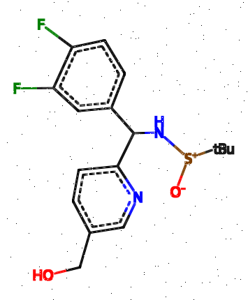 CC(C)(C)[S+]([O-])NC(c1ccc(F)c(F)c1)c1ccc(CO)cn1